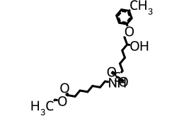 CCOC(=O)CCCCCCNS(=O)(=O)CCCCC(O)COc1cccc(C)c1